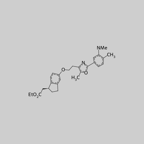 CCOC(=O)C[C@@H]1CCc2cc(OCCc3nc(-c4ccc(C)c(NC)c4)oc3C)ccc21